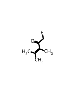 CC(C)=C(C)C(=O)CF